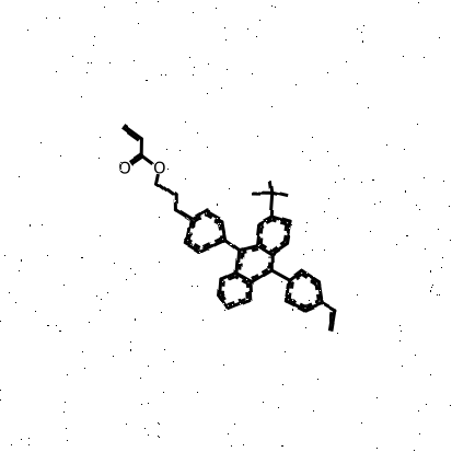 C=CC(=O)OCCCc1ccc(-c2c3ccccc3c(-c3ccc(C=C)cc3)c3ccc(C(C)(C)C)cc23)cc1